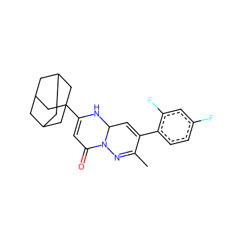 CC1=NN2C(=O)C=C(C34CC5CC(CC(C5)C3)C4)NC2C=C1c1ccc(F)cc1F